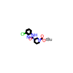 CC(C)(C)OC(=O)N1CCC[C@@H](C(=O)Nc2cccc(Cl)c2N)C1